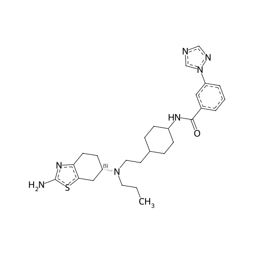 CCCN(CCC1CCC(NC(=O)c2cccc(-n3cncn3)c2)CC1)[C@H]1CCc2nc(N)sc2C1